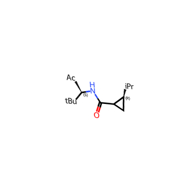 CC(=O)[C@@H](NC(=O)C1C[C@@H]1C(C)C)C(C)(C)C